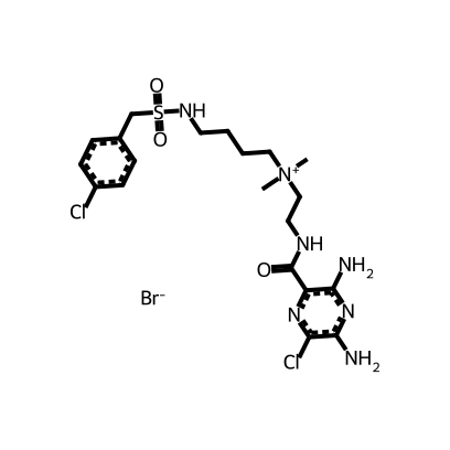 C[N+](C)(CCCCNS(=O)(=O)Cc1ccc(Cl)cc1)CCNC(=O)c1nc(Cl)c(N)nc1N.[Br-]